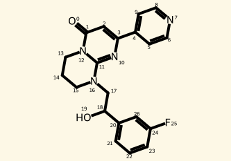 O=c1cc(-c2ccncc2)nc2n1CCCN2CC(O)c1cccc(F)c1